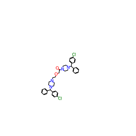 O=C(COCCN1CCN(C(c2ccccc2)c2ccc(Cl)cc2)CC1)N1CCN(C(c2ccccc2)c2ccc(Cl)cc2)CC1